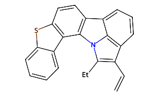 C=Cc1c(CC)n2c3c1cccc3c1ccc3sc4ccccc4c3c12